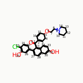 O=C(C1=CCC(OCCN2CCCCC2)C=C1)c1c(-c2ccc(Cl)c(O)c2)ccc2cc(O)ccc12